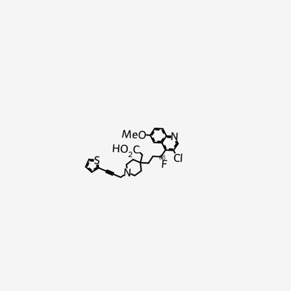 COc1ccc2ncc(Cl)c([C@H](F)CCC3(CC(=O)O)CCN(CC#Cc4cccs4)CC3)c2c1